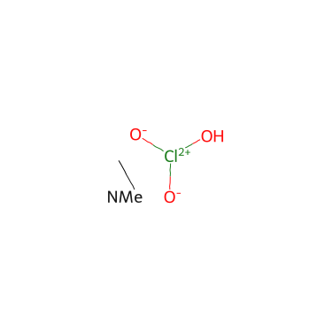 CNC.[O-][Cl+2]([O-])O